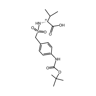 CC(C)[C@@H](NS(=O)(=O)Cc1ccc(NC(=O)OC(C)(C)C)cc1)C(=O)O